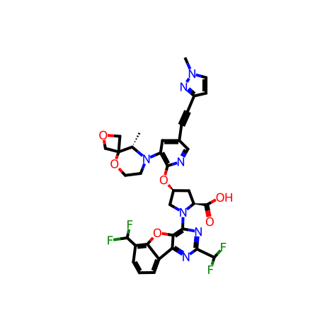 C[C@@H]1N(c2cc(C#Cc3ccn(C)n3)cnc2O[C@H]2C[C@@H](C(=O)O)N(c3nc(C(F)F)nc4c3oc3c(C(F)F)cccc34)C2)CCOC12COC2